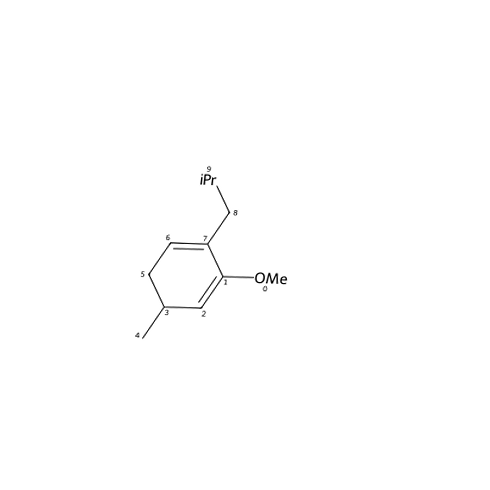 COC1=CC(C)CC=C1CC(C)C